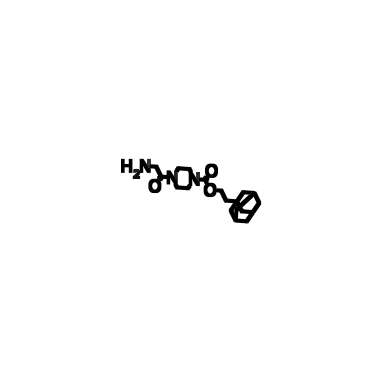 NCC(=O)N1CCN(C(=O)OCCC23CC4CC(CC(C4)C2)C3)CC1